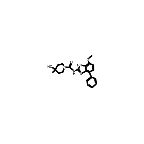 COc1ccc(-c2ccccc2)c2nc(NC(=O)N3CCC(C)(O)CC3)[nH]c12